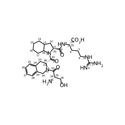 N=C(N)NCCC[C@H](NC(=O)[C@@H]1CC2CCCCC2N1C(=O)[C@H]1Cc2ccccc2CN1C(=O)[C@@H](N)CO)C(=O)O